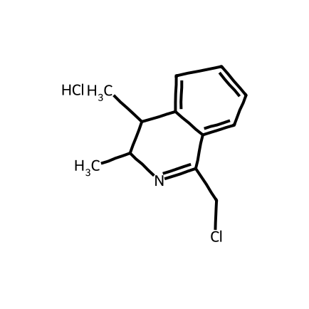 CC1N=C(CCl)c2ccccc2C1C.Cl